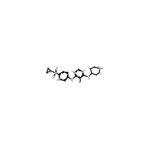 Cc1c(Oc2ccc(S(=O)(=O)C3CC3)nc2)ncnc1OC1CCNCC1